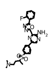 CC(CCN(C)C)S(=O)(=O)c1ccc(-c2cnc(N)c(-c3nnc(-c4ccccc4F)o3)n2)cc1